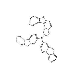 c1ccc2c(c1)sc1cc(N(c3ccc4c(c3)sc3ccccc34)c3ccc4ccc5sc6ccccc6c5c4c3)ccc12